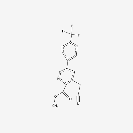 COC(=O)c1ncc(-c2ccc(C(F)(F)F)cc2)cc1CC#N